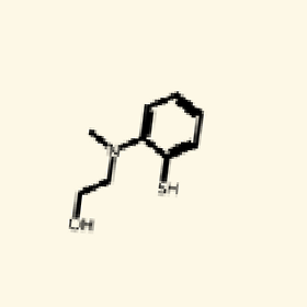 CN(CCO)c1ccccc1S